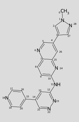 Cn1cc(-c2cnc3ccc(Nc4cc(-c5ccncc5)cnn4)nc3c2)cn1